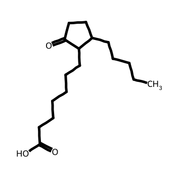 CCCCCC1CCC(=O)C1CCCCCCC(=O)O